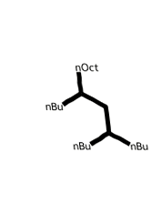 CCCCCCCCC(CCCC)CC(CCCC)CCCC